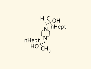 CCCCCCCC(C)(O)CN1CCN(CC(C)(O)CCCCCCC)CC1